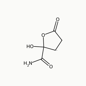 NC(=O)C1(O)[CH]CC(=O)O1